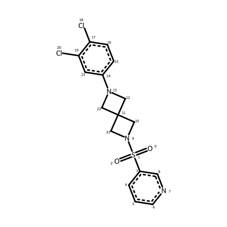 O=S(=O)(c1cccnc1)N1CC2(CN(c3ccc(Cl)c(Cl)c3)C2)C1